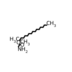 CCCCCCCCCCCCCCCC(C)(C)OC(=O)CN